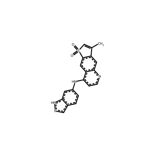 CC1=CS(=O)(=O)c2cc3c(Nc4ccc5cn[nH]c5c4)ccnc3cc21